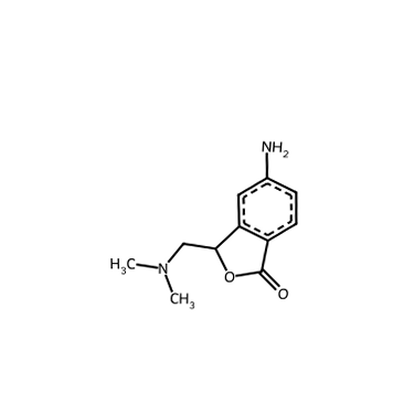 CN(C)CC1OC(=O)c2ccc(N)cc21